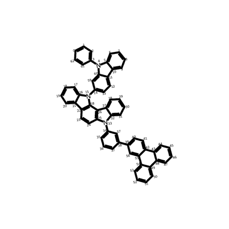 c1ccc(-n2c3ccccc3c3ccc(-n4c5ccccc5c5ccc6c(c7ccccc7n6-c6cccc(-c7ccc8c9ccccc9c9ccccc9c8c7)c6)c54)cc32)cc1